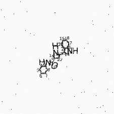 O=C(Nc1ccccc1)c1c[nH]c(-c2c[nH]c3ccccc23)c1